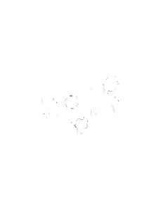 COc1c(N)cc(COCc2nc(NC(=O)OC(C)(C)C)ccc2C)cc1-c1ncn(C)n1